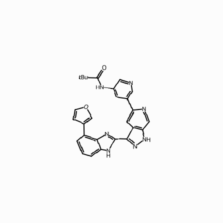 CC(C)(C)C(=O)Nc1cncc(-c2cc3c(-c4nc5c(-c6ccoc6)cccc5[nH]4)n[nH]c3cn2)c1